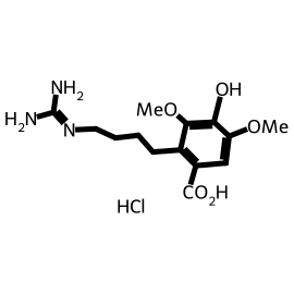 COc1cc(C(=O)O)c(CCCCN=C(N)N)c(OC)c1O.Cl